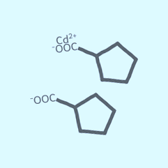 O=C([O-])C1CCCC1.O=C([O-])C1CCCC1.[Cd+2]